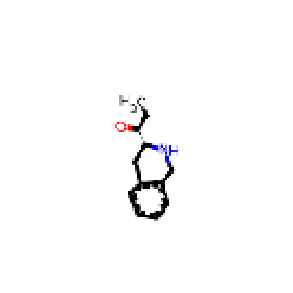 CCC(=O)[C@H]1Cc2ccccc2CN1